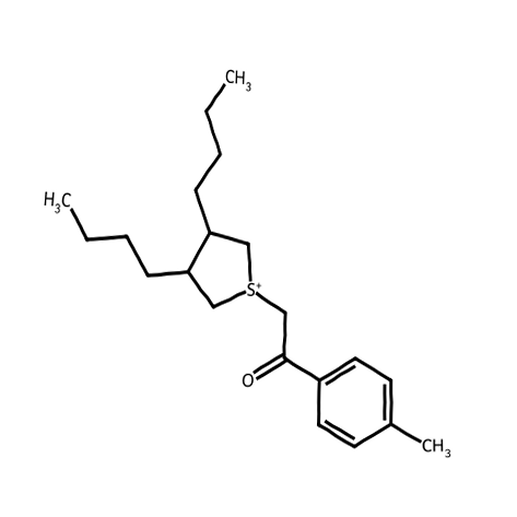 CCCCC1C[S+](CC(=O)c2ccc(C)cc2)CC1CCCC